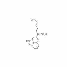 O=CCCCCN(C(=O)O)c1cc2c3c(c1)NSN3CC=C2